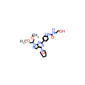 COCC(COC)n1ncc2c(N3CC4CCC(C3)O4)nc(-c3ccc(NC(=O)NCCO)cc3)nc21